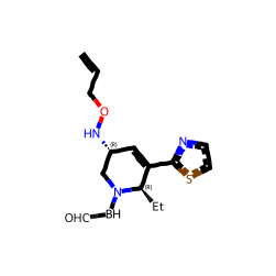 C=CCON[C@@H]1C=C(c2nccs2)[C@@H](CC)N(BC=O)C1